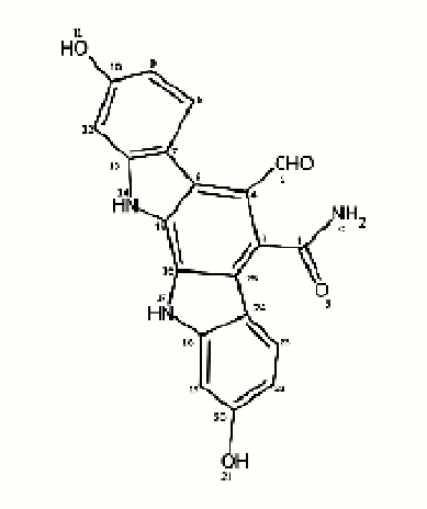 NC(=O)c1c(C=O)c2c3ccc(O)cc3[nH]c2c2[nH]c3cc(O)ccc3c12